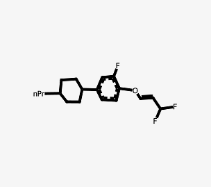 CCCC1CCC(c2ccc(O/C=C/C(F)F)c(F)c2)CC1